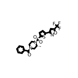 C[C@@H]1CN(C(=O)c2ccccc2)CCN1S(=O)(=O)c1ccc(-c2cc(C(F)(F)F)on2)s1